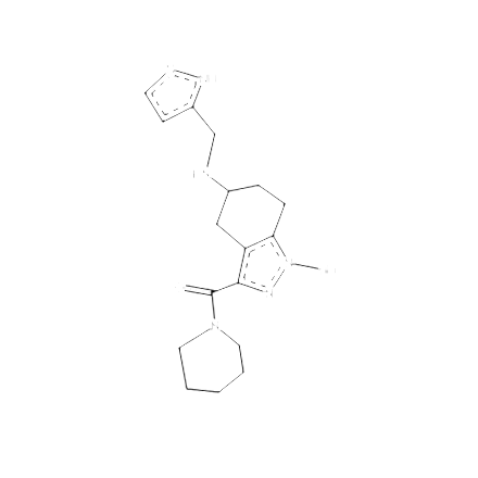 CCCn1nc(C(=O)N2CCCCC2)c2c1CCC(NCc1ccn[nH]1)C2